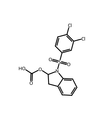 O=C(O)OC1Cc2ccccc2N1S(=O)(=O)c1ccc(Cl)c(Cl)c1